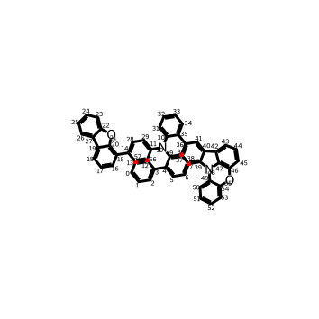 c1ccc(-c2ccccc2N(c2ccc(-c3cccc4c3oc3ccccc34)cc2)c2ccccc2-c2ccc3c(c2)c2cccc4c2n3-c2ccccc2O4)cc1